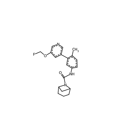 Cc1ccc(NC(=O)N2C3CCCC2C3)cc1-c1cncc(OCF)c1